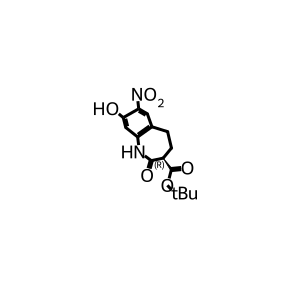 CC(C)(C)OC(=O)[C@@H]1CCc2cc([N+](=O)[O-])c(O)cc2NC1=O